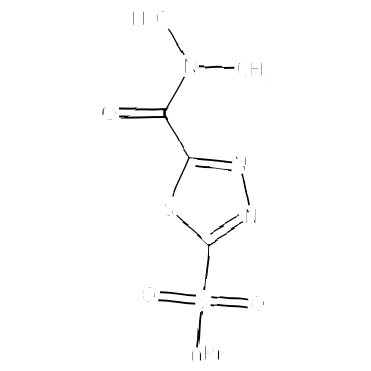 CCCS(=O)(=O)c1nnc(C(=O)N(C)C)s1